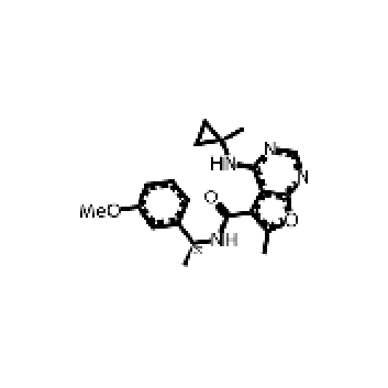 COc1cccc([C@H](C)NC(=O)c2c(C)oc3ncnc(NC4(C)CC4)c23)c1